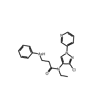 CCN(C(=O)CC[AsH]c1ccccc1)c1cn(-c2cccnc2)nc1Cl